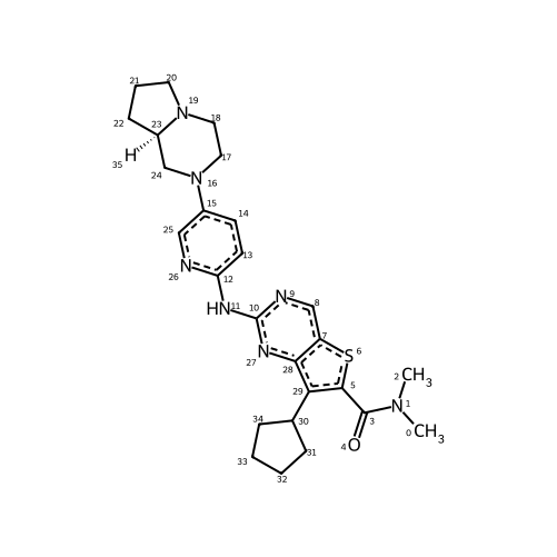 CN(C)C(=O)c1sc2cnc(Nc3ccc(N4CCN5CCC[C@@H]5C4)cn3)nc2c1C1CCCC1